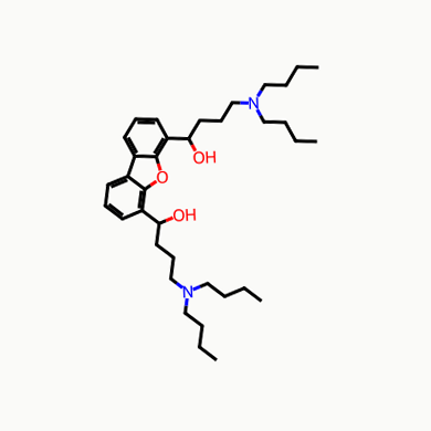 CCCCN(CCCC)CCCC(O)c1cccc2c1oc1c(C(O)CCCN(CCCC)CCCC)cccc12